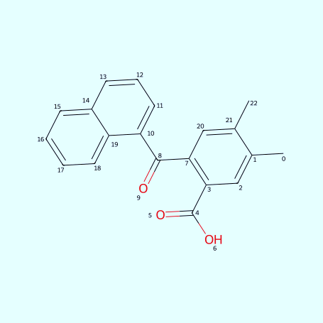 Cc1cc(C(=O)O)c(C(=O)c2cccc3ccccc23)cc1C